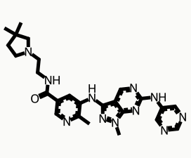 Cc1ncc(C(=O)NCCN2CCC(C)(C)C2)cc1Nc1nn(C)c2nc(Nc3cncnc3)ncc12